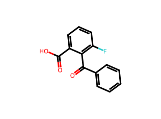 O=C(O)c1cccc(F)c1C(=O)c1ccccc1